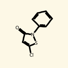 O=c1cc(Cl)sn1-c1ccccc1